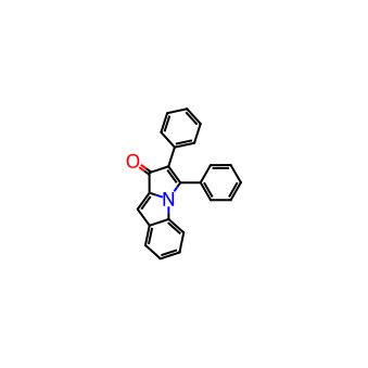 O=C1C(c2ccccc2)=C(c2ccccc2)n2c1cc1ccccc12